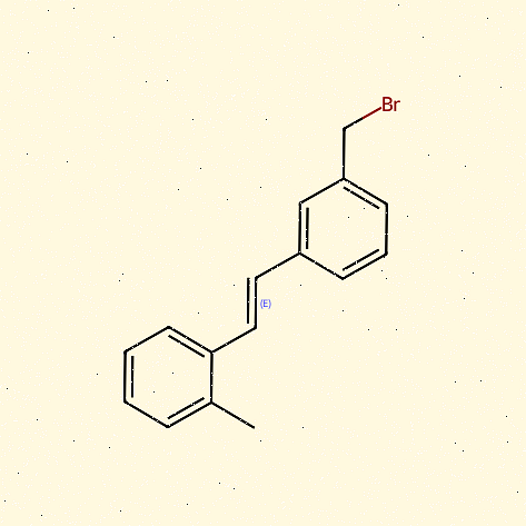 Cc1ccccc1/C=C/c1cccc(CBr)c1